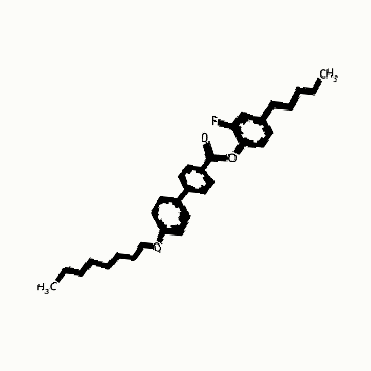 CCCCCCCCOc1ccc(-c2ccc(C(=O)Oc3ccc(CCCCC)cc3F)cc2)cc1